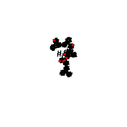 CC1(C)c2cc(-n3c4ccccc4c4cc(-c5ccc6c(c5)c5ccccc5n6-c5ccccc5)ccc43)ccc2-c2c(-c3ccccc3)nc(-c3cccc(-n4c5ccccc5c5cc(-c6ccc7c(c6)c6ccccc6n7-c6ccccc6)ccc54)c3)nc21